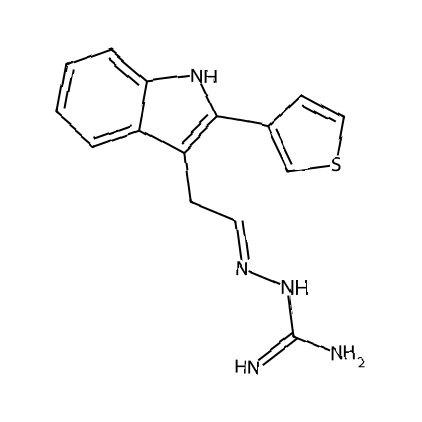 N=C(N)NN=CCc1c(-c2ccsc2)[nH]c2ccccc12